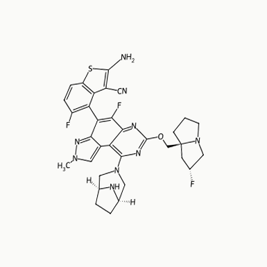 Cn1cc2c(n1)c(-c1c(F)ccc3sc(N)c(C#N)c13)c(F)c1nc(OC[C@@]34CCCN3C[C@H](F)C4)nc(N3C[C@H]4CC[C@@H](C3)N4)c12